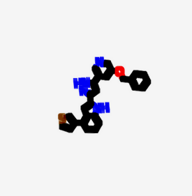 c1ccc(COc2cncc(-c3cc(-c4cc5c(-c6ccsc6)cccc5[nH]4)n[nH]3)c2)cc1